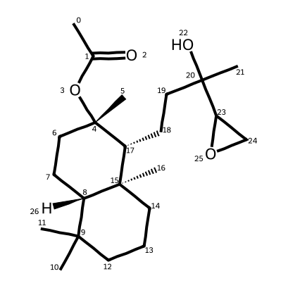 CC(=O)O[C@@]1(C)CC[C@H]2C(C)(C)CCC[C@]2(C)[C@H]1CCC(C)(O)C1CO1